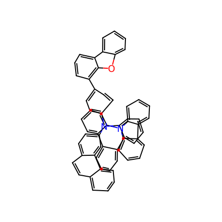 c1ccc(-c2ccccc2-n2c3ccccc3c3ccccc32)c(-c2ccccc2N(c2ccc(-c3cccc4c3oc3ccccc34)cc2)c2ccc3ccc4ccccc4c3c2)c1